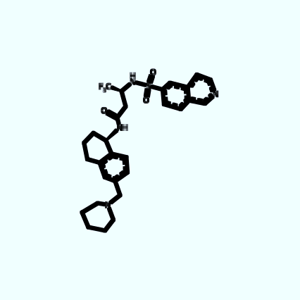 O=C(C[C@H](NS(=O)(=O)c1ccc2cnccc2c1)C(F)(F)F)N[C@@H]1CCCc2cc(CN3CCCCC3)ccc21